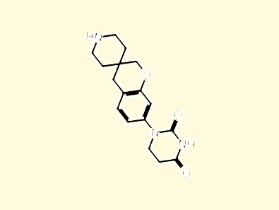 O=C1CCN(c2ccc3c(c2)OCC2(CCNCC2)C3)C(=O)N1